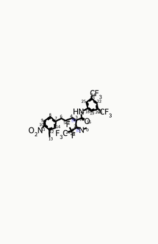 C/N=C(\C(=C/CCc1ccc([N+](=O)[O-])c(C)c1)C(=O)Nc1cc(C(F)(F)F)cc(C(F)(F)F)c1)C(F)(F)C(F)(F)F